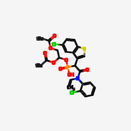 C=CN(C(=O)C(c1csc2ccc(Cl)cc12)P(=O)(O)OC(COC(=O)C(C)(C)C)OC(=O)C(C)(C)C)c1ccccc1Cl